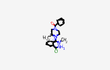 C=N/C(=c1/cccc/c1=C(/N)Cl)N1CCN(C(=O)c2ccccc2)C[C@H]1C